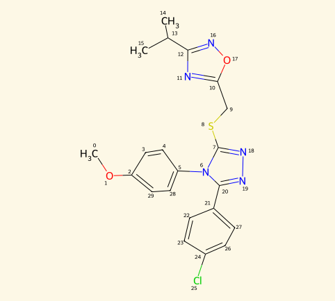 COc1ccc(-n2c(SCc3nc(C(C)C)no3)nnc2-c2ccc(Cl)cc2)cc1